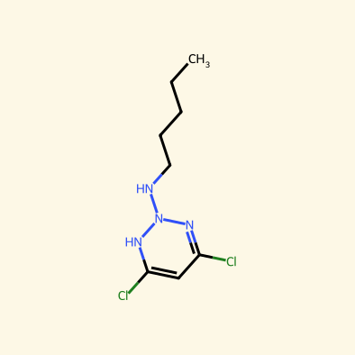 CCCCCNN1N=C(Cl)C=C(Cl)N1